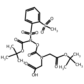 CC(C)(C)OC(=O)CN(CC(=O)O)C(=O)ON(C(=O)OC(C)(C)C)S(=O)(=O)c1ccccc1S(C)(=O)=O